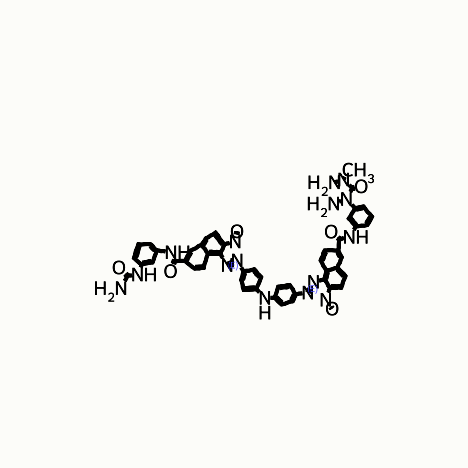 CN(N)C(=O)N(N)c1cccc(NC(=O)c2ccc3c(/N=N/c4ccc(Nc5ccc(/N=N/c6c(N=O)ccc7cc(C(=O)Nc8cccc(NC(N)=O)c8)ccc67)cc5)cc4)c(N=O)ccc3c2)c1